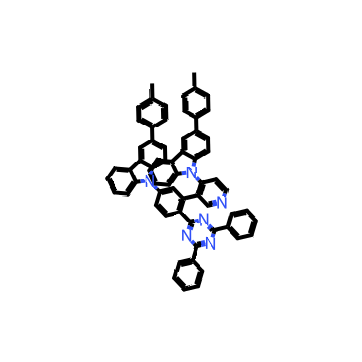 Cc1ccc(-c2ccc3c(c2)c2ccccc2n3-c2ccc(-c3nc(-c4ccccc4)nc(-c4ccccc4)n3)c(-c3cnccc3-n3c4ccccc4c4cc(-c5ccc(C)cc5)ccc43)c2)cc1